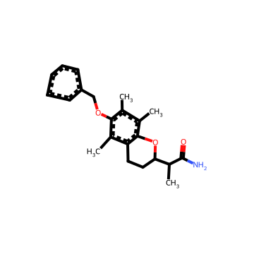 Cc1c(C)c2c(c(C)c1OCc1ccccc1)CCC(C(C)C(N)=O)O2